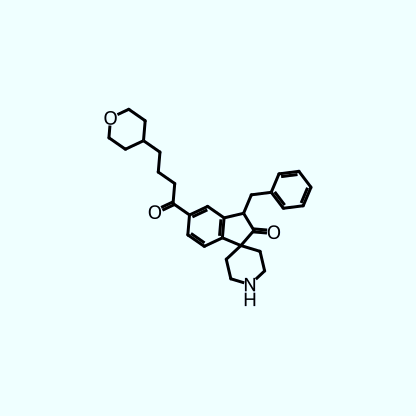 O=C(CCCC1CCOCC1)c1ccc2c(c1)C(Cc1ccccc1)C(=O)C21CCNCC1